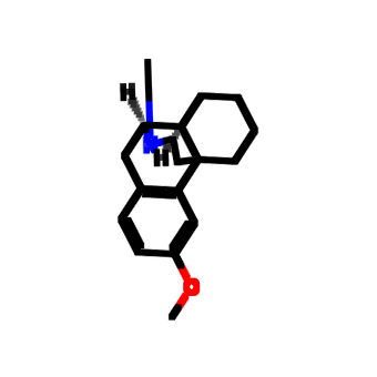 COc1ccc2c(c1)C13CCCC[C@@H]1[C@H](C2)N(C)CC3